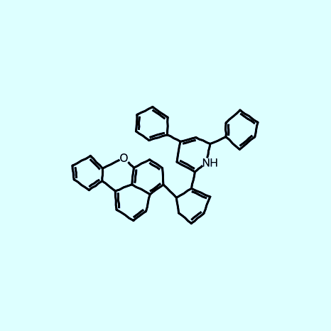 C1=CCC(c2ccc3c4c(cccc24)-c2ccccc2O3)C(C2=CC(c3ccccc3)=CC(c3ccccc3)N2)=C1